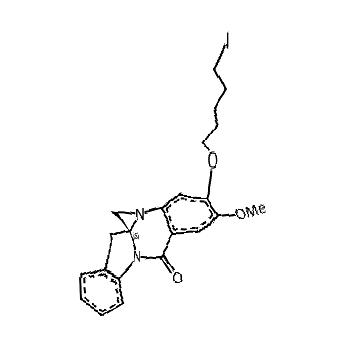 COc1cc2c(cc1OCCCCCI)N1C[C@@]13Cc1ccccc1N3C2=O